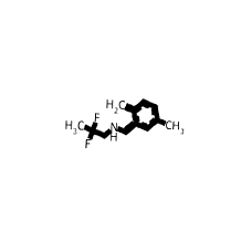 C=c1ccc(C)c/c1=C/NCC(C)(F)F